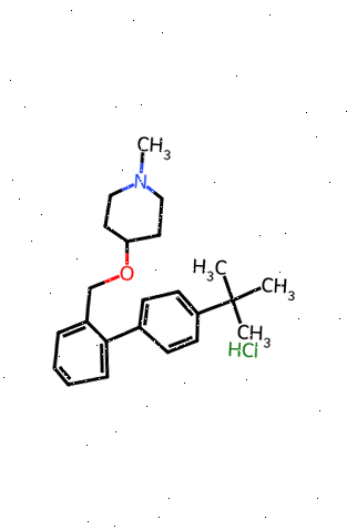 CN1CCC(OCc2ccccc2-c2ccc(C(C)(C)C)cc2)CC1.Cl